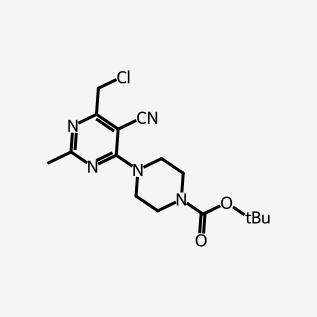 Cc1nc(CCl)c(C#N)c(N2CCN(C(=O)OC(C)(C)C)CC2)n1